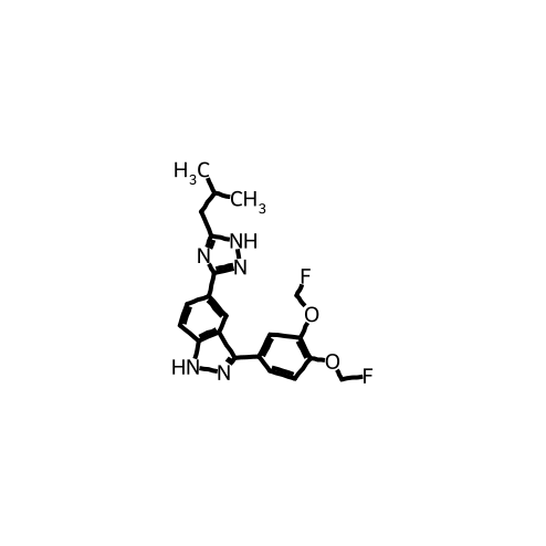 CC(C)Cc1nc(-c2ccc3[nH]nc(-c4ccc(OCF)c(OCF)c4)c3c2)n[nH]1